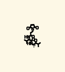 CC(C)C(=O)[C@H](C)NC(=O)[C@@H](NC(=O)CCN1C(=O)C=CC1=O)C(C)C